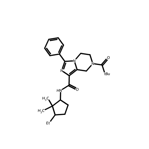 CCC1CCC(NC(=O)c2nc(-c3ccccc3)n3c2CN(C(=O)C(C)(C)C)CC3)C1(C)C